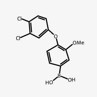 COc1cc(B(O)O)ccc1Oc1ccc(Cl)c(Cl)c1